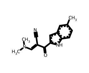 Cc1ccc2[nH]c(C(=O)C(C#N)=CN(C)C)cc2c1